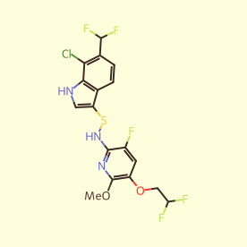 COc1nc(NSc2c[nH]c3c(Cl)c(C(F)F)ccc23)c(F)cc1OCC(F)F